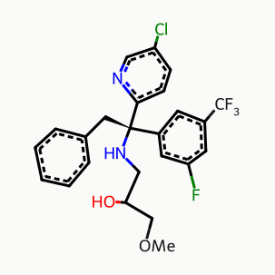 COCC(O)CN[C@@](Cc1ccccc1)(c1cc(F)cc(C(F)(F)F)c1)c1ccc(Cl)cn1